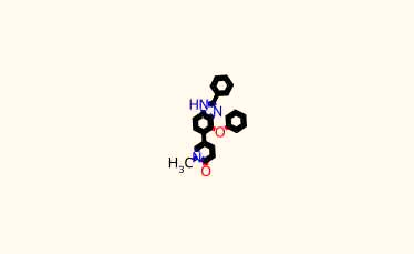 Cn1cc(-c2ccc3[nH]c(-c4ccccc4)nc3c2Oc2ccccc2)ccc1=O